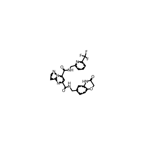 O=C1COc2ccc(CNC(=O)c3cc(C(=O)NCc4cccc(C(F)(F)F)n4)n4nccc4n3)cc2N1